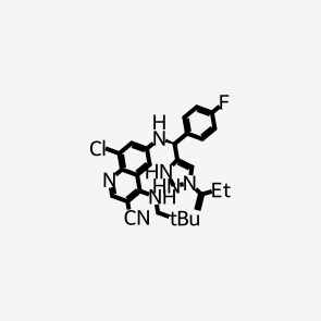 C=C(CC)N1C=C([C@@H](Nc2cc(Cl)c3ncc(C#N)c(NCC(C)(C)C)c3c2)c2ccc(F)cc2)NN1